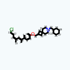 C=C(/C=C\C(=C)/C(C)=C/C(C)=C\C=C\Cl)OCC1CC2(CCN(CC3CCCCC3)CC2)C1